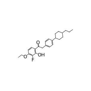 CCCC1CCC(c2ccc(CC(=O)c3ccc(OCC)c(F)c3O)cc2)CC1